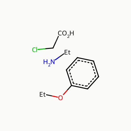 CCN.CCOc1ccccc1.O=C(O)CCl